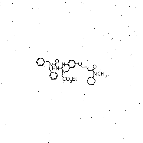 CCOC(=O)CN1Cc2cc(OCCCC(=O)N(C)C3CCCCC3)ccc2N=C1NC(=O)N(Cc1ccccc1)Cc1ccccc1